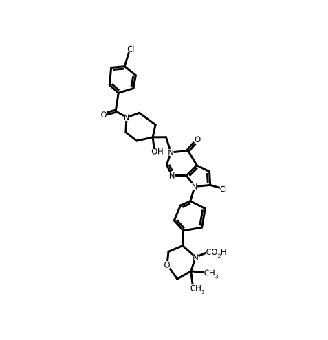 CC1(C)COCC(c2ccc(-n3c(Cl)cc4c(=O)n(CC5(O)CCN(C(=O)c6ccc(Cl)cc6)CC5)cnc43)cc2)N1C(=O)O